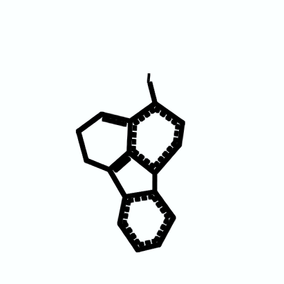 Ic1ccc2c3c1=CCCC=3c1ccccc1-2